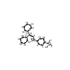 C[Si](C)(C)c1ccc([Se]C=C(c2ccccc2)c2ccccc2)cc1